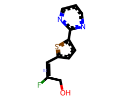 OC/C(F)=C\c1ccc(-c2ncccn2)s1